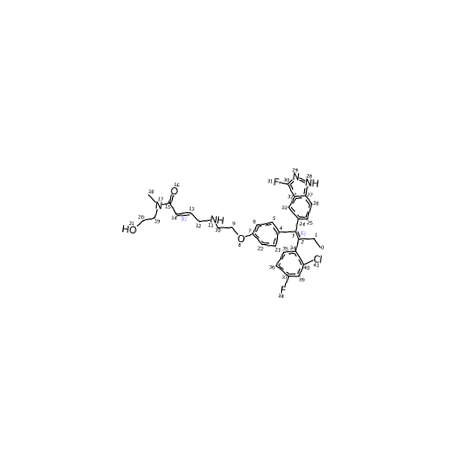 CC/C(=C(/c1ccc(OCCNC/C=C/C(=O)N(C)CCO)cc1)c1ccc2[nH]nc(F)c2c1)c1ccc(F)cc1Cl